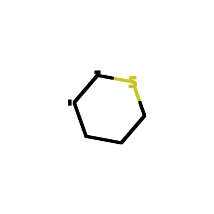 [C]1[C]SCCC1